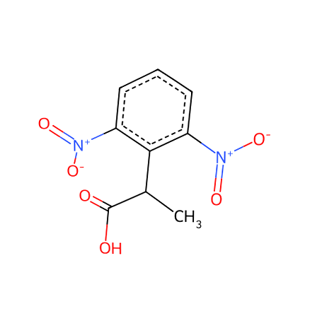 CC(C(=O)O)c1c([N+](=O)[O-])cccc1[N+](=O)[O-]